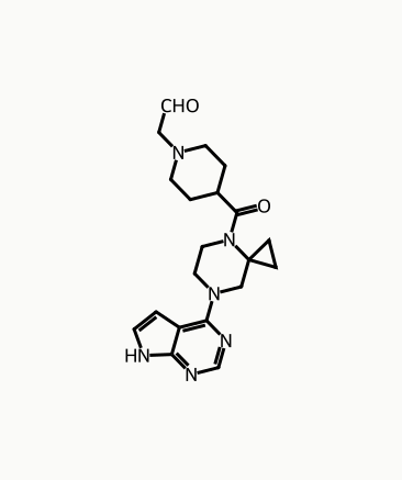 O=CCN1CCC(C(=O)N2CCN(c3ncnc4[nH]ccc34)CC23CC3)CC1